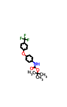 CC(C)(C)OC(=O)Nc1ccc(Oc2ccc(C(F)(F)F)cc2)cc1